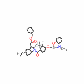 Cc1ccc2c(c1)c(CC(=O)OCc1ccccc1)c(C)n2C(=O)c1ccc(OC[C@@H]2CN(C)c3ccccc3O2)c(C)c1